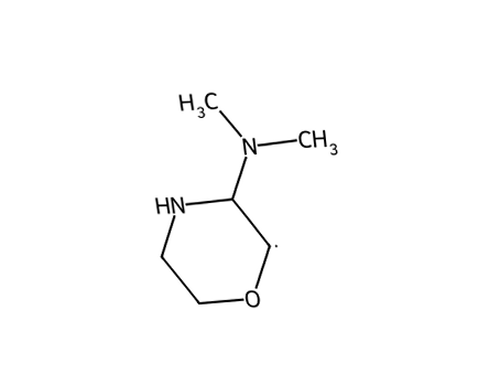 CN(C)C1[CH]OCCN1